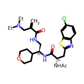 C=C(CN(CC)CC)C(=O)NC[C@@H](NC(=O)[C@H](Cc1nc2ccc(Cl)cc2s1)NC(C)=O)C1CCOCC1